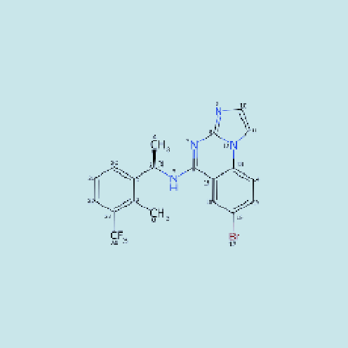 Cc1c([C@@H](C)Nc2nc3nccn3c3ccc(Br)cc23)cccc1C(F)(F)F